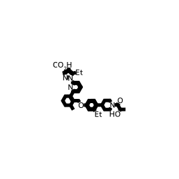 CCc1cc(OCC2=C(c3cccc(-n4ncc(C(=O)O)c4CC)n3)CCCC2C)ccc1C1CCN(C(=O)C(C)O)CC1